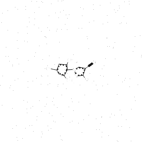 Cc1cc(Br)cc(C)c1-n1cc(C#N)c(N)n1